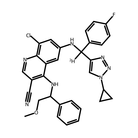 [2H]C(Nc1cc(Cl)c2ncc(C#N)c(NC(COC)c3ccccc3)c2c1)(c1ccc(F)cc1)c1cn(C2CC2)nn1